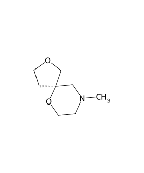 CN1CCO[C@]2(CCOC2)C1